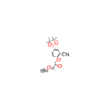 C[C@H](OC(C)(C)C)C(=O)COc1ccc(B2OC(C)(C)C(C)(C)O2)cc1C#N